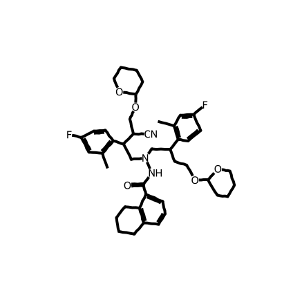 Cc1cc(F)ccc1C(CCOC1CCCCO1)CN(CC(c1ccc(F)cc1C)C(C#N)COC1CCCCO1)NC(=O)c1cccc2c1CCCC2